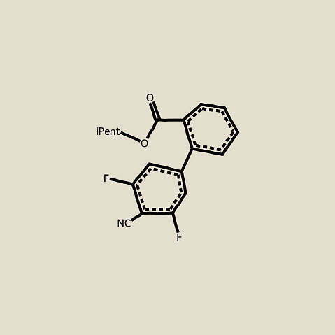 CCCC(C)OC(=O)c1ccccc1-c1cc(F)c(C#N)c(F)c1